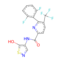 O=C(Nc1cnsc1O)c1ccc(C(F)(F)F)c(-c2c(F)cccc2F)n1